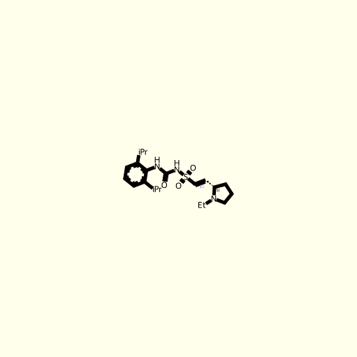 CCN1CCC[C@H]1/C=C/S(=O)(=O)NC(=O)Nc1c(C(C)C)cccc1C(C)C